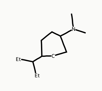 CCC(CC)C1CCC(N(C)C)CC1